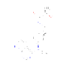 C[C@@H](O)C(=O)N1CC2C[C@H](N(C)c3ncnc4[nH]ccc34)C[C@H]2C1